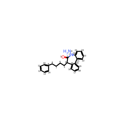 NN1C(=O)C(CCCCc2ccccc2)c2ccccc2-c2ccccc21